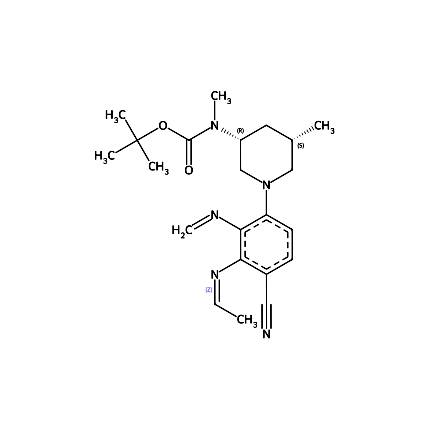 C=Nc1c(N2C[C@@H](C)C[C@@H](N(C)C(=O)OC(C)(C)C)C2)ccc(C#N)c1/N=C\C